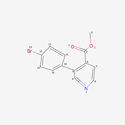 COC(=O)c1ccncc1-c1ccc(Br)cc1